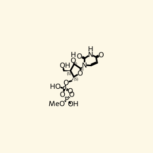 COP(=O)(O)OP(=O)(O)OC[C@H]1O[C@@H](n2ccc(=O)[nH]c2=O)[C@H](O)[C@@H]1CO